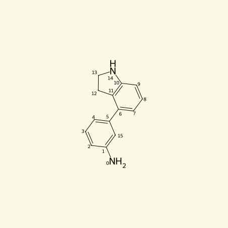 Nc1cccc(-c2cccc3c2CCN3)c1